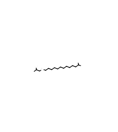 CCC(CC)CCCCCCCCCCCNCC(C)O